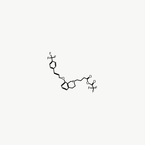 O=C(CCCN1CCc2cccc(OC/C=C/c3ccc(C(F)(F)F)cc3)c2C1)OC(=O)C(F)(F)F